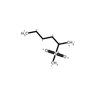 [CH2]C(CCCC)S(C)(=O)=O